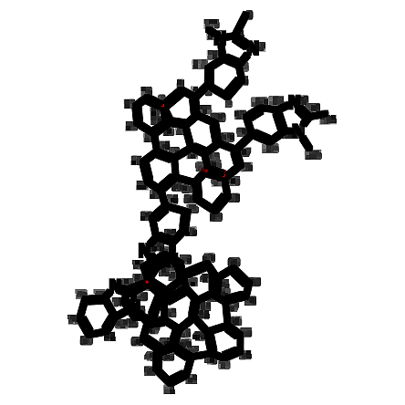 Cc1nc2ccc(-c3cccc4c(-c5c(-c6ccccc6)ccc(-c6ccc7c(c6)nc(-c6ccccc6)n7-c6cccc7c(-c8c(-c9ccccc9)cccc8-c8ccccc8)c8cccc(-n9c(-c%10ccccc%10)nc%10ccccc%109)c8cc67)c5-c5ccccc5)c5cccc(-c6ccc7nc(C)n(C)c7c6)c5cc34)cc2n1C